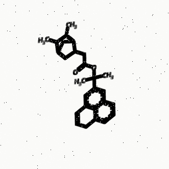 CC1C2CC(CC(=O)OC(C)(C)c3cc4c5c(cccc5c3)CC=C4)C(C2)C1C